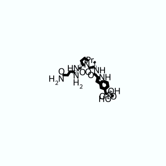 CC(C)C[C@H](NC(=O)c1cc2cc(C(=O)P(=O)(O)O)ccc2[nH]1)C(=O)N1CCC[C@H]1C(=O)N[C@H](N)CCC(N)=O